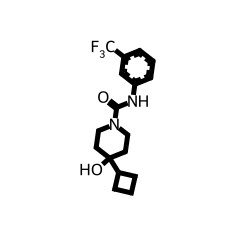 O=C(Nc1cccc(C(F)(F)F)c1)N1CCC(O)(C2CCC2)CC1